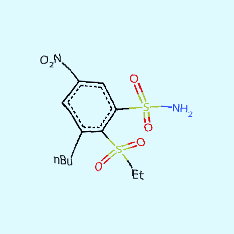 CCCCc1cc([N+](=O)[O-])cc(S(N)(=O)=O)c1S(=O)(=O)CC